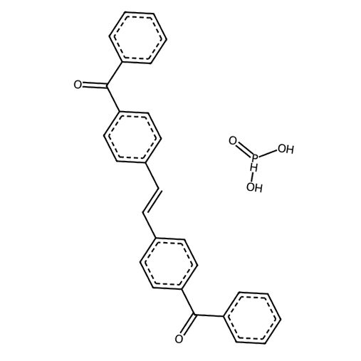 O=C(c1ccccc1)c1ccc(C=Cc2ccc(C(=O)c3ccccc3)cc2)cc1.O=[PH](O)O